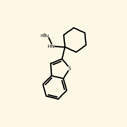 CCCCNC1(c2cc3ccccc3s2)CCCCC1